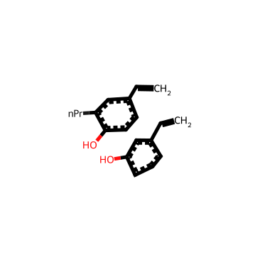 C=Cc1ccc(O)c(CCC)c1.C=Cc1cccc(O)c1